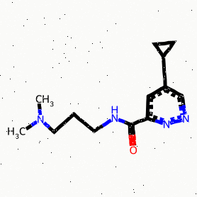 CN(C)CCCNC(=O)c1cc(C2CC2)cnn1